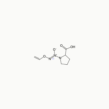 C=CO/N=[N+](\[O-])N1CCCC1C(=O)O